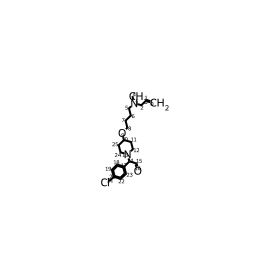 C=CCN(C)CCCCOC1CCN(C(C=O)c2ccc(Cl)cc2)CC1